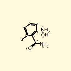 Cc1ccccc1C(N)=O.NO